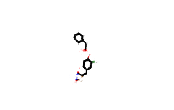 O=C(Cc1ccccc1)Oc1ccc(C=C2SC(=O)NC2=O)cc1Br